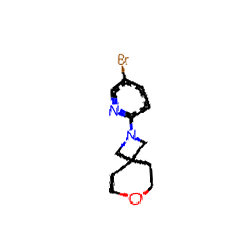 Brc1ccc(N2CC3(CCOCC3)C2)nc1